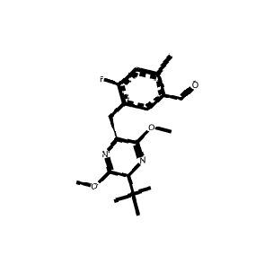 COC1=N[C@@H](Cc2cc(C=O)c(C)cc2F)C(OC)=NC1C(C)(C)C